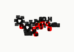 CC(C)(C)C(=O)OCOP(=O)(OCOC(=O)C(C)(C)C)[C@H](CCCc1cccc(Oc2ccccc2)c1)S(=O)(=O)O